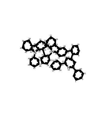 c1ccc(-c2cc(-c3ccccc3-c3ccc4c(c3)c3ccccc3n4-c3ccccc3-c3cccc4c5ccccc5n(-c5ccccc5)c34)cc(-c3ccccc3)n2)cc1